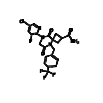 NC(=O)C1CC2(C1)C(=O)N(c1ncc(Cl)cc1F)CC(=O)N2Cc1ccc(C(F)(F)F)cc1